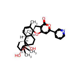 CC1=CC[C@@H]2[C@]34CC[C@](O)(OC3)C(C)(C)[C@]4(O)CC[C@@]2(C)[C@]12Cc1c(cc(-c3cccnc3)oc1=O)O2